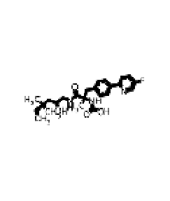 CCC(C)(C)CC(O)CNC(=O)C(C)(Cc1ccc(-c2ccc(F)cn2)cc1)NC(=O)O